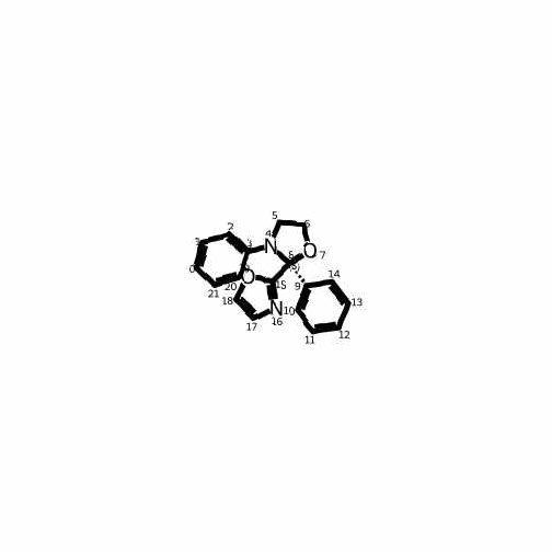 c1ccc(N2CCO[C@@]2(c2ccccc2)c2ncco2)cc1